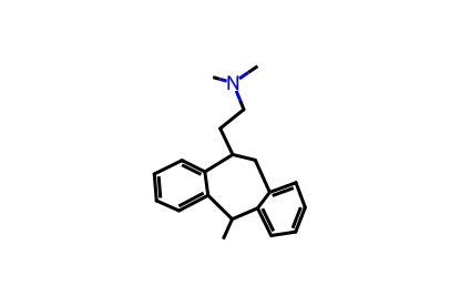 CC1c2ccccc2CC(CCN(C)C)c2ccccc21